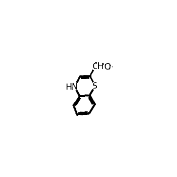 O=[C]C1=CNc2ccccc2S1